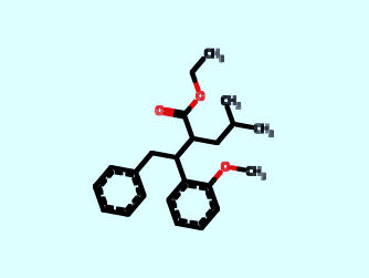 CCOC(=O)C(CC(C)C)C(Cc1ccccc1)c1ccccc1OC